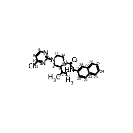 CC(C)C1CN(c2nccc(Cl)n2)CCN1C(=O)Nc1ccc2ccccc2c1